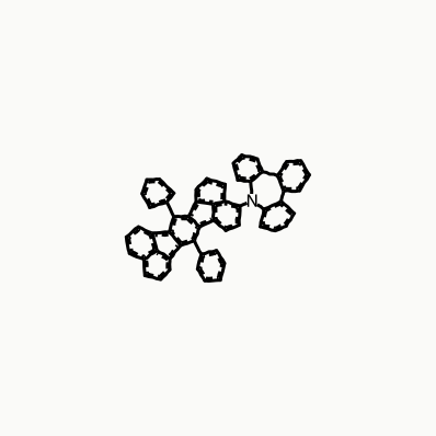 c1ccc(-c2c3c4cccc5cccc(c3c(-c3ccccc3)c3c6ccc(N7c8ccccc8-c8ccccc8-c8ccccc87)c7cccc(c23)c76)c54)cc1